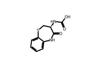 O=C(O)N[C@@H]1CSc2ccccc2NC1=O